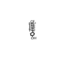 Oc1ccc(C(F)(F)C(F)(F)C(F)(F)C(F)(F)C(F)(F)C(F)(F)F)cc1